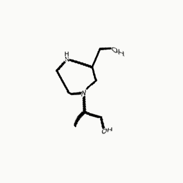 CC(CO)N1CCNC(CO)C1